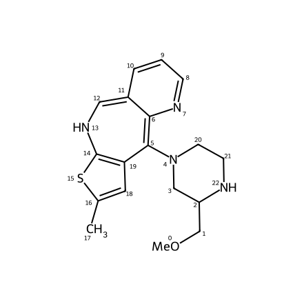 COCC1CN(C2=c3ncccc3=CNc3sc(C)cc32)CCN1